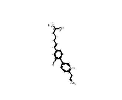 C=CCc1ccc(-c2ccc(/C=C/CCCC(C)O)cc2F)cn1